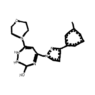 Cc1cccc(-c2ccn(C3=NC(O)NNC(N4CCOCC4)=C3)n2)c1